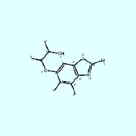 Cc1c(OC(C)C(C)O)cc2sc(Br)nc2c1C